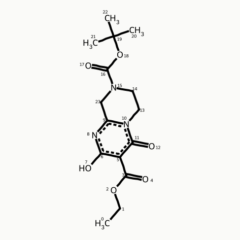 CCOC(=O)c1c(O)nc2n(c1=O)CCN(C(=O)OC(C)(C)C)C2